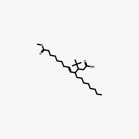 CCCCCCCCC(/C=C/CCCCCCC(=O)OC)C(CC(=O)O)C(C)(C)C